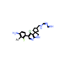 CC(=O)c1c(N)ccc(-c2cnc3c(c2Cl)C2(CCC(CN/C=N\C=N)C2)CN3)c1F